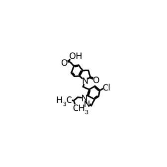 CC(C)Cn1ncc2cc(Cl)cc(CN3C(=O)Cc4cc(C(=O)O)ccc43)c21